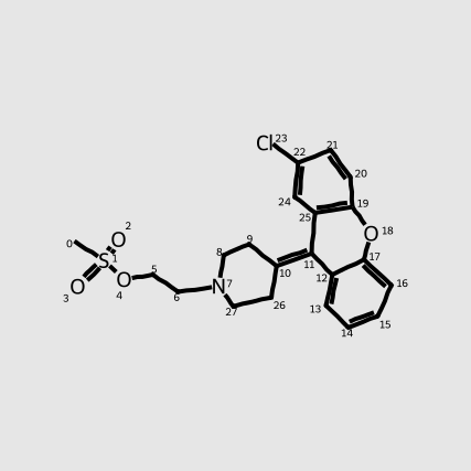 CS(=O)(=O)OCCN1CCC(=C2c3ccccc3Oc3ccc(Cl)cc32)CC1